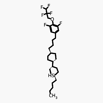 CCCCC[Si@H]1CC[C@H]([C@H]2CC[C@H](CCCCc3cc(F)c(OCC(F)(F)C(F)F)c(F)c3)CC2)CC1